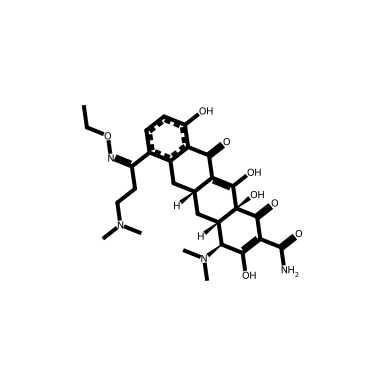 CCO/N=C(/CCN(C)C)c1ccc(O)c2c1C[C@H]1C[C@H]3[C@H](N(C)C)C(O)=C(C(N)=O)C(=O)[C@@]3(O)C(O)=C1C2=O